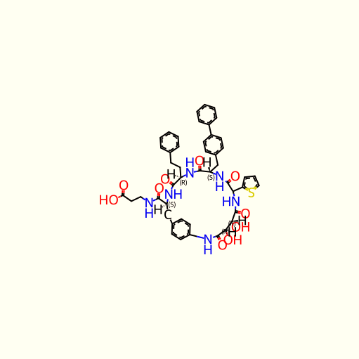 O=C(O)CCNC(=O)[C@@H]1Cc2ccc(cc2)NC(=O)[C@H](O)[C@@H](O)C(=O)NC(c2cccs2)C(=O)N[C@@H](Cc2ccc(-c3ccccc3)cc2)C(=O)N[C@H](CCc2ccccc2)C(=O)N1